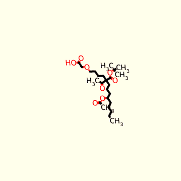 CCCCCC(CCCC(CCCCOCC(=O)O)(C(C)=O)C(=O)OC(C)(C)C)OC(C)=O